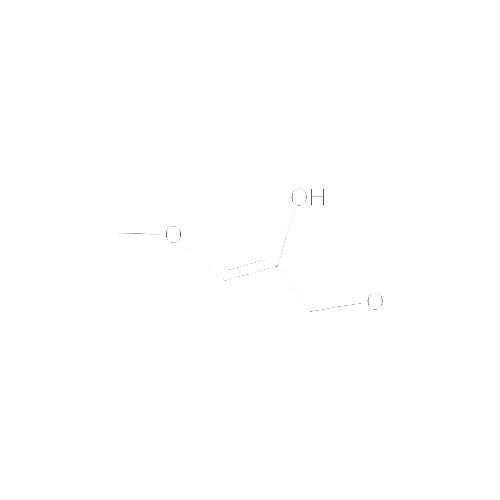 COC=C(O)C[O]